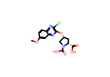 COc1ccc2nc(Cl)c(O[C@@H]3C[C@H](C(=O)O)N(C(=O)O)C3)nc2c1